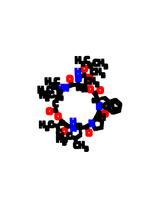 CC(C)C[C@@H]1NC(=O)[C@H](C(C)C)OC(=O)C[C@H](C)[C@@H](C(C)C)NC(=O)[C@@H](NC(=O)OC(C)(C)C)[C@@H](C)OC(=O)[C@H](Cc2ccccc2)N(C)C(=O)[C@@H]2CCCN2C1=O